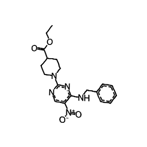 CCOC(=O)C1CCN(c2ncc([N+](=O)[O-])c(NCc3ccccc3)n2)CC1